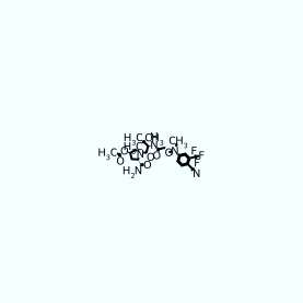 CCN(OCC(=O)N[C@H](C(=O)N1C[C@H](OC(C)=O)C[C@H]1C(N)=O)C(C)(C)C)c1ccc(C#N)c(C(F)(F)F)c1